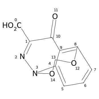 O=C(O)c1nn2c3cccc(c3c1=O)OCO2